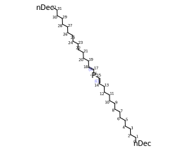 CCCCCCCCCCCCCCCCCCCCCCC/C=C/[P]/C=C/CCCCCCCCCCCCCCCCCCCCCCC